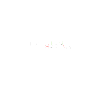 C/C=C/CCC1COC(c2ccc(-c3ccc(-c4ccc(OCCC)c(F)c4F)cc3)c(F)c2)OC1